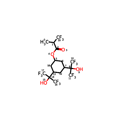 CC(C(=O)OC1CC(C(O)(C(F)(F)F)C(F)(F)F)CC(C(O)(C(F)(F)F)C(F)(F)F)C1)C(F)(F)F